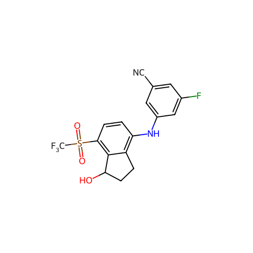 N#Cc1cc(F)cc(Nc2ccc(S(=O)(=O)C(F)(F)F)c3c2CCC3O)c1